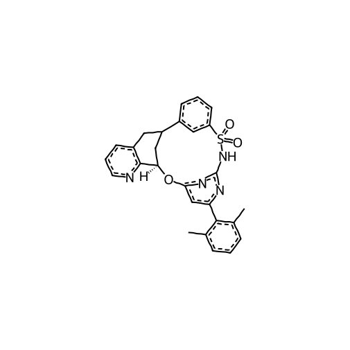 Cc1cccc(C)c1-c1cc2nc(n1)NS(=O)(=O)c1cccc(c1)C1Cc3cccnc3[C@@H](C1)O2